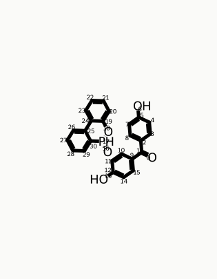 O=C(c1ccc(O)cc1)c1ccc(O)cc1.O=[PH]1Oc2ccccc2-c2ccccc21